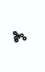 c1ccc(-c2cccc(-c3nc(-c4ccccc4)c4ccc5ccccc5c4n3)c2)cc1